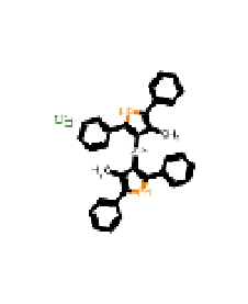 Cc1c(-c2ccccc2)[pH]c(-c2ccccc2)[c]1[Zr+2][c]1c(-c2ccccc2)[pH]c(-c2ccccc2)c1C.[Cl-].[Cl-]